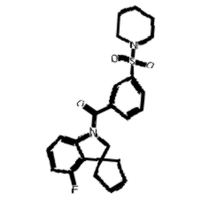 O=C(c1cccc(S(=O)(=O)N2CCCCC2)c1)N1CC2(CCCC2)c2c(F)cccc21